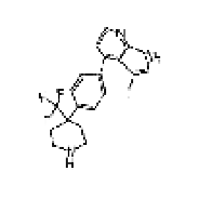 Fc1c[nH]c2nccc(-c3ccc(C4(C(F)(F)F)CCNCC4)cc3)c12